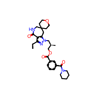 CCc1nn(C[C@@H](C)COC(=O)c2cccc(C(=O)N3CCCCC3)c2)c2c1C(=O)NCC1(CCOCC1)C2